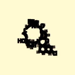 CC[C@@H]1CC/C=C/[C@@H](O)[C@@]2(C)CC[C@@H]2CN2C[C@@]3(CCCc4cc(Cl)ccc43)COc3ccc(cc32)C(=O)NS1(=O)=O